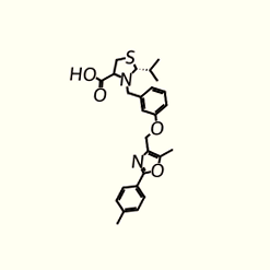 Cc1ccc(-c2nc(COc3cccc(CN4C(C(=O)O)CS[C@@H]4C(C)C)c3)c(C)o2)cc1